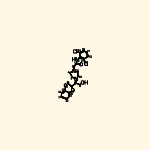 O=C(CN1CCN(C(CO)C2COc3ccccc3O2)CC1)Nc1c(Cl)cccc1Cl